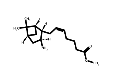 COC(=O)CCC/C=C\C[C@@H]1[C@@H](N)C[C@H]2C[C@@H]1C2(C)C